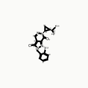 O=c1c2nn(Cc3ccccc3F)c(Cl)c2cnn1[C@H]1C[C@H]1C(F)F